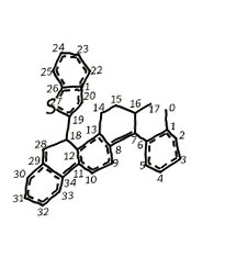 Cc1ccccc1C1=c2ccc3c(c2CCC1C)C(c1cc2ccccc2s1)C=c1ccccc1=3